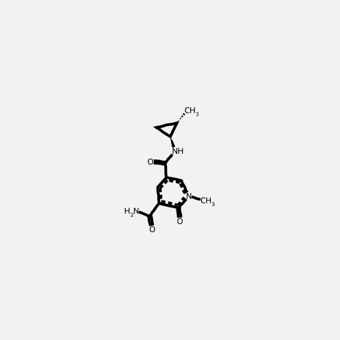 C[C@H]1C[C@@H]1NC(=O)c1cc(C(N)=O)c(=O)n(C)c1